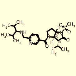 CC(C)C(NCc1ccc(C(=O)N2CC[C@H]3[C@H]2[C@@H](C(C)C)C(=O)N3S(C)(=O)=O)cn1)C(C)C